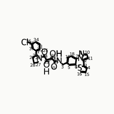 O=C(NCc1ccc(-n2nccc2-c2cccs2)cc1)[C@H](O)[C@@H](O)C(=O)N1CCCC1c1cccc(Cl)c1